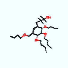 CCCCOCC1=C[C@@H](CC(C)(C)[Si](C)(C)O)[C@H](OCCCC)[C@@H](OCCCC)[C@@H]1OCCCC